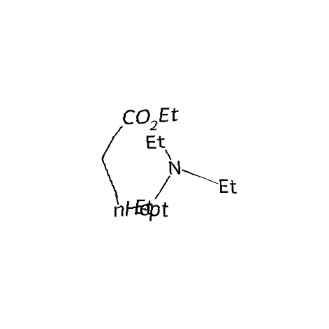 CCCCCCCCC(=O)OCC.CCN(CC)CC